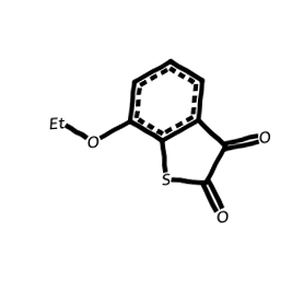 CCOc1cccc2c1SC(=O)C2=O